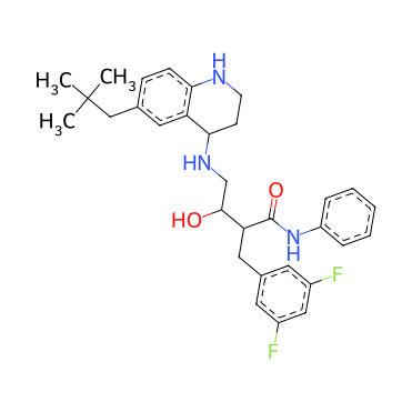 CC(C)(C)Cc1ccc2c(c1)C(NCC(O)C(Cc1cc(F)cc(F)c1)C(=O)Nc1ccccc1)CCN2